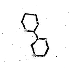 C1CCC(C2CNCCS2)[N]C1